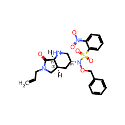 C=CCN1C[C@@H]2C[C@@H](N(OCc3ccccc3)S(=O)(=O)c3ccccc3[N+](=O)[O-])CN[C@@H]2C1=O